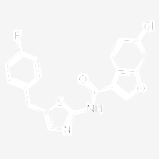 O=C(Nc1ncc(Cc2ccc(F)cc2)s1)c1coc2cc(Cl)ccc12